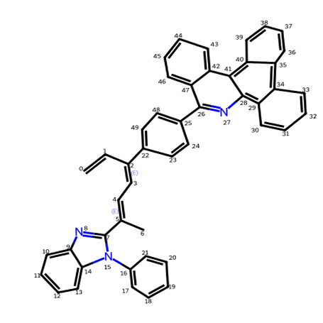 C=C/C(=C\C=C(/C)c1nc2ccccc2n1-c1ccccc1)c1ccc(-c2nc3c4ccccc4c4ccccc4c3c3ccccc23)cc1